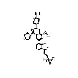 CCOc1cc(-c2cccc(C(F)CCN[SH](=O)=O)c2F)cc2c(N3CCOCC3)nc(-c3ccc(N)nc3)nc12